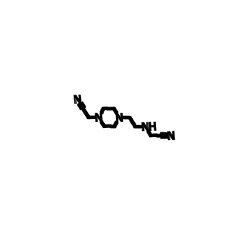 N#CCNCCN1CCN(CC#N)CC1